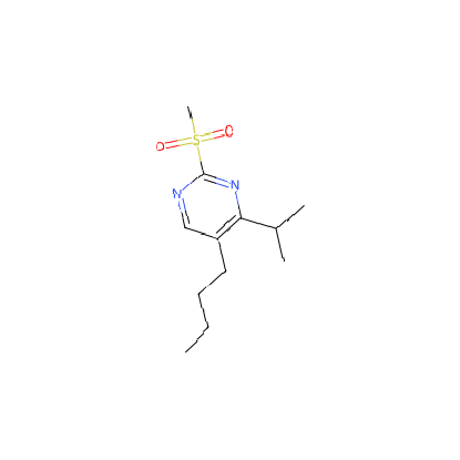 CCCCc1cnc(S(C)(=O)=O)nc1C(C)C